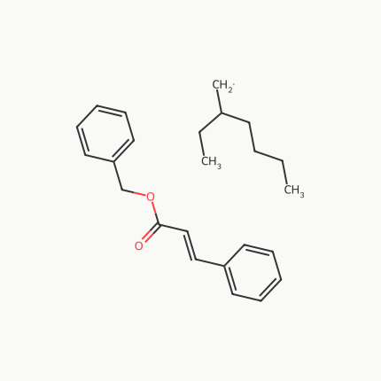 O=C(/C=C/c1ccccc1)OCc1ccccc1.[CH2]C(CC)CCCC